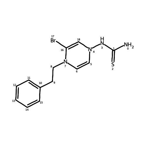 NC(=S)NN1C=CN(CCc2ccccc2)C(Br)=C1